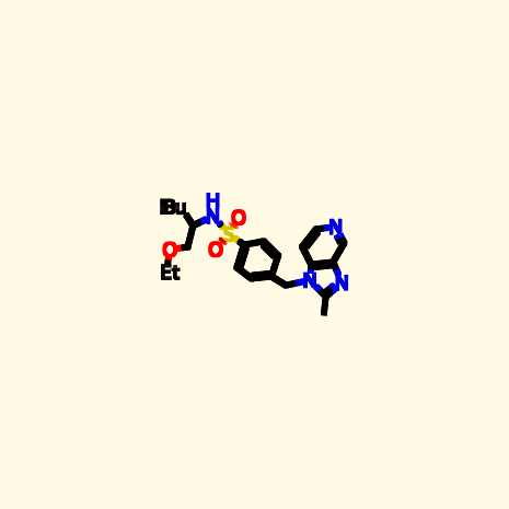 CCOCC(NS(=O)(=O)c1ccc(Cn2c(C)nc3cnccc32)cc1)C(C)CC